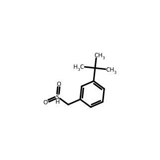 CC(C)(C)c1cccc(C[SH](=O)=O)c1